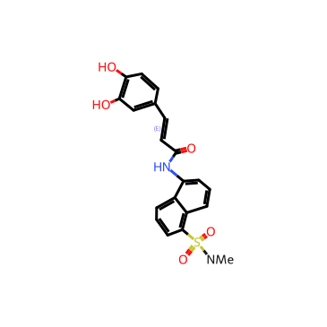 CNS(=O)(=O)c1cccc2c(NC(=O)/C=C/c3ccc(O)c(O)c3)cccc12